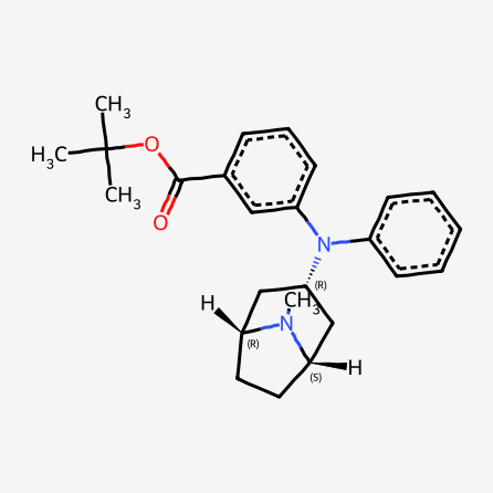 CN1[C@@H]2CC[C@H]1C[C@@H](N(c1ccccc1)c1cccc(C(=O)OC(C)(C)C)c1)C2